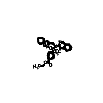 CCOC(=O)c1ccc(S(=O)(=O)N(CC2=NOC3(CCCCC3)C2)c2ncc3ccccc3c2C)cc1